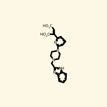 O=C(O)/C=C(\C(=O)O)c1cccc(N2CCN(Cc3nc4ccccc4[nH]3)CC2)n1